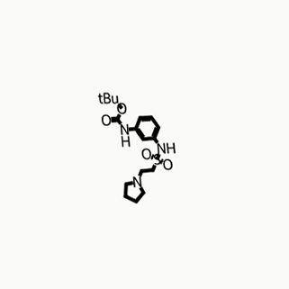 CC(C)(C)OC(=O)Nc1cccc(NS(=O)(=O)CCN2CCCC2)c1